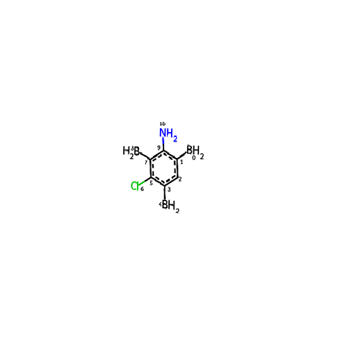 Bc1cc(B)c(Cl)c(B)c1N